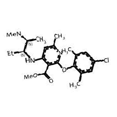 CC[C@H](Nc1cc(C)nc(Oc2c(C)cc(Cl)cc2C)c1C(=O)OC)[C@H](C)NC